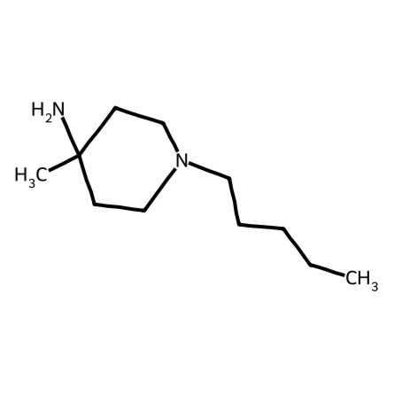 CCCCCN1CCC(C)(N)CC1